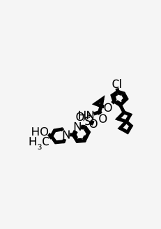 CC1(O)CCN(c2cccc(S(=O)(=O)NC(=O)C3(Oc4cc(Cl)ccc4C4CC5(CCC5)C4)CC3)n2)CC1